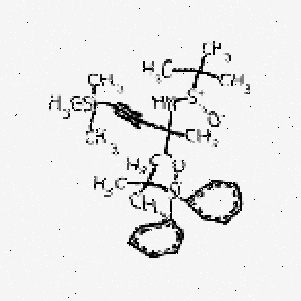 CC(C#C[Si](C)(C)C)(CO[Si](c1ccccc1)(c1ccccc1)C(C)(C)C)N[S@@+]([O-])C(C)(C)C